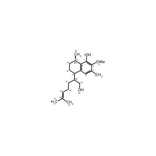 COc1c(C)cc2c(c1O)[C@H](C)CCC2C(CO)CCC=C(C)C